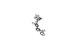 CC(C)CC(C)(COc1ccc(-c2ccnc(NC3CCCOC3)c2)cc1Cl)NC(=O)O